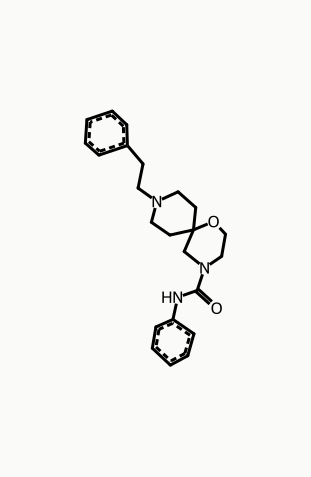 O=C(Nc1ccccc1)N1CCOC2(CCN(CCc3ccccc3)CC2)C1